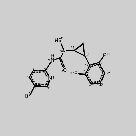 O=C(Nc1ccc(Br)cn1)N(S)C1CC1c1c(F)cccc1F